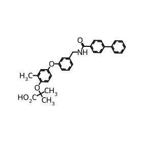 Cc1cc(Oc2cccc(CNC(=O)c3ccc(-c4ccccc4)cc3)c2)ccc1OC(C)(C)C(=O)O